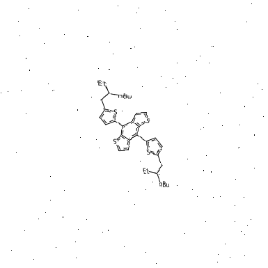 CCCCC(CC)Cc1ccc(-c2c3ccsc3c(-c3ccc(CC(CC)CCCC)s3)c3ccsc23)s1